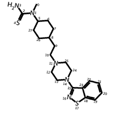 CN(C(N)=S)C1CCC(CCN2CCN(c3nsc4ccccc34)CC2)CC1